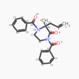 C=CC[C@]1(C)C(=O)N(C(=O)c2ccccc2)CCN1C(=O)c1ccccc1